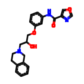 O=C(Nc1cccc(OCC(O)CN2CCc3ccccc3C2)c1)c1cocn1